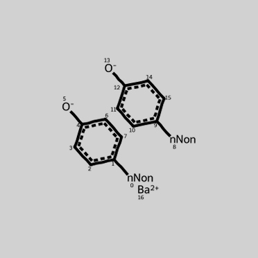 CCCCCCCCCc1ccc([O-])cc1.CCCCCCCCCc1ccc([O-])cc1.[Ba+2]